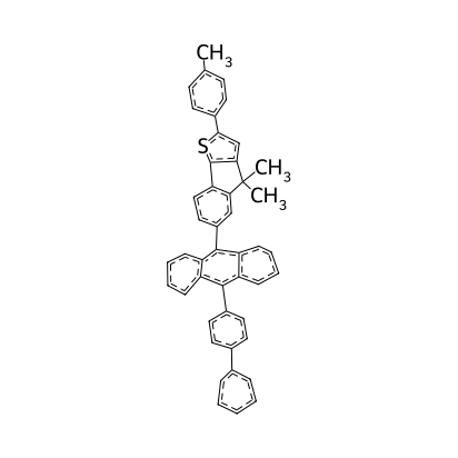 Cc1ccc(-c2cc3c(s2)-c2ccc(-c4c5ccccc5c(-c5ccc(-c6ccccc6)cc5)c5ccccc45)cc2C3(C)C)cc1